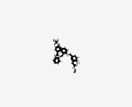 CCOC(=O)Cc1cc(COc2ccccc2Cn2c(-c3ccc(OC(F)(F)F)cc3)nc3ccccc32)ccc1Cl